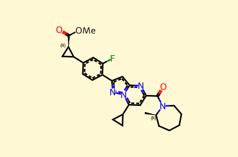 COC(=O)[C@@H]1CC1c1ccc(-c2cc3nc(C(=O)N4CCCCC[C@H]4C)cc(C4CC4)n3n2)c(F)c1